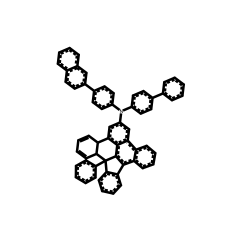 C1=CC2c3cc(N(c4ccc(-c5ccccc5)cc4)c4ccc(-c5ccc6ccccc6c5)cc4)cc4c3c3c(c5ccccc54)-c4ccccc4C3(c3ccccc3)C2C=C1